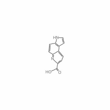 O=C(O)c1ccc2c(ccc3[nH]ccc32)n1